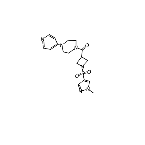 Cn1cc(S(=O)(=O)N2CC(C(=O)N3CCN(c4ccncc4)CC3)C2)cn1